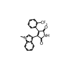 Cn1cc(C2=C(c3ccccc3C(F)(F)F)C(=O)NC2=O)c2ccccc21